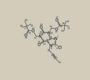 CC#CCn1c(Cl)nc2c1c(=O)n(COC(=O)C(C)(C)C)c(=O)n2COC(=O)C(C)(C)C